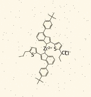 CCCc1ccc(C2=Cc3c(-c4ccc(C(C)(C)C)cc4)cccc3[CH]2[Zr+2][CH]2C(c3ccc(CCC)s3)=Cc3c(-c4ccc(C(C)(C)C)cc4)cccc32)s1.[Cl-].[Cl-]